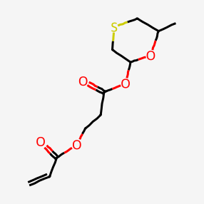 C=CC(=O)OCCC(=O)OC1CSCC(C)O1